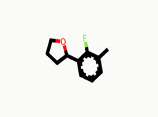 Cc1cccc(C2CCCO2)c1F